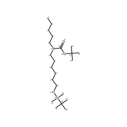 CCCCCN(CCCCCCO[Si](C)(C)C(C)(C)C)C(=O)OC(C)(C)C